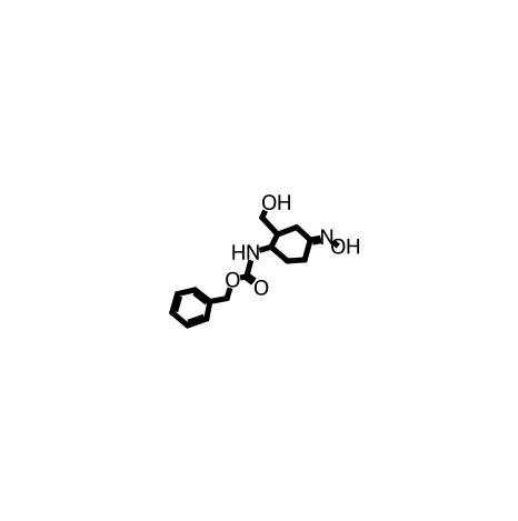 O=C(NC1CCC(=NO)CC1CO)OCc1ccccc1